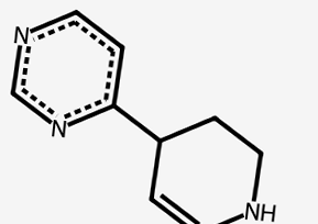 C1=CC(c2ccncn2)CCN1